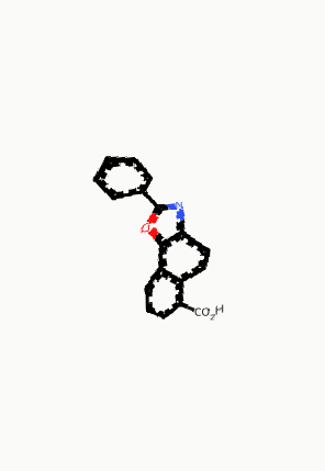 O=C(O)c1cccc2c1ccc1nc(-c3ccccc3)oc12